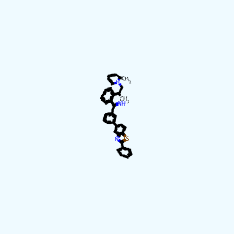 C=C1C=CC=CN1CC(C)c1ccccc1C(=N)c1cccc(-c2ccc3sc(-c4ccccc4)nc3c2)c1